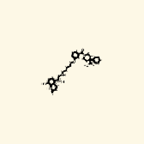 O=C(c1cccc(OCCCCCNC[C@H](O)c2ccc(O)c3[nH]c(=O)ccc23)c1)N1CCC(C(=O)O)(c2ccccc2)CC1